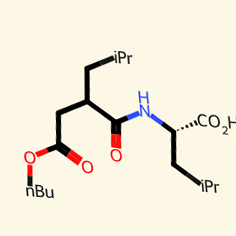 CCCCOC(=O)CC(CC(C)C)C(=O)N[C@@H](CC(C)C)C(=O)O